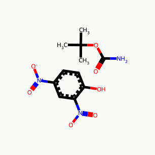 CC(C)(C)OC(N)=O.O=[N+]([O-])c1ccc(O)c([N+](=O)[O-])c1